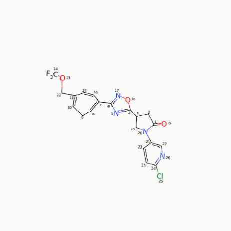 O=C1CC(c2nc(C3=CCC=C(COC(F)(F)F)C=C3)no2)CN1c1ccc(Cl)nc1